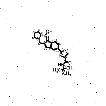 CC(C)(C)NC(=O)c1csc(-c2ccc3[nH]c(CN4CCC[C@@H]4CO)cc3c2)n1